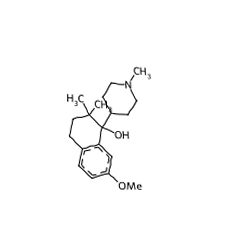 COc1ccc2c(c1)C(O)(C1CCN(C)CC1)C(C)(C)CC2